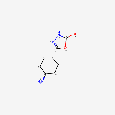 N[C@H]1CC[C@H](C2=NNC(O)O2)CC1